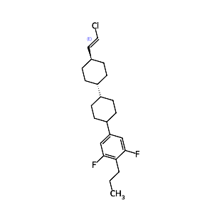 CCCc1c(F)cc(C2CCC([C@H]3CC[C@H](/C=C/Cl)CC3)CC2)cc1F